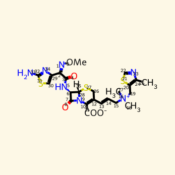 CO/N=C(\C(=O)N[C@@H]1C(=O)N2C(C(=O)[O-])=C(/C=C/C[N+](C)(C)Cc3scnc3C)CS[C@@H]12)c1csc(N)n1